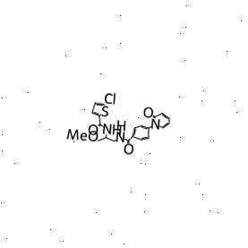 COCC(CNC(=O)c1ccc(-n2ccccc2=O)cc1)NC(=O)c1ccc(Cl)s1